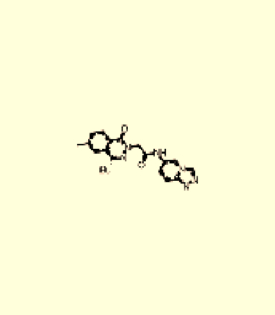 CC[C@@H](C)c1nn(CC(=O)Nc2ccc3nncn3c2)c(=O)c2ccc(C)cc12